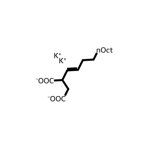 CCCCCCCCCCC=CC(CC(=O)[O-])C(=O)[O-].[K+].[K+]